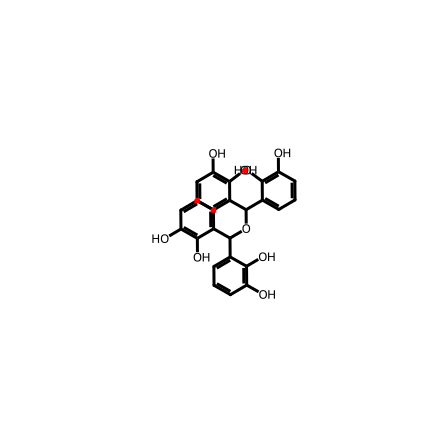 Oc1cccc(C(OC(c2cccc(O)c2O)c2cccc(O)c2O)c2cccc(O)c2O)c1O